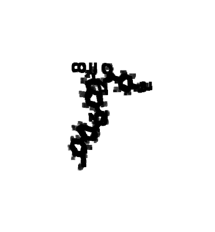 Cc1cccc(-c2ccc(-c3nc(-c4ccc(C[C@H](NC(=O)c5ccc(C(C)(C)C)cc5)C(=O)O)cc4)no3)cc2)c1